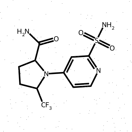 NC(=O)C1CCC(C(F)(F)F)N1c1ccnc(S(N)(=O)=O)c1